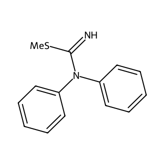 CSC(=N)N(c1ccccc1)c1ccccc1